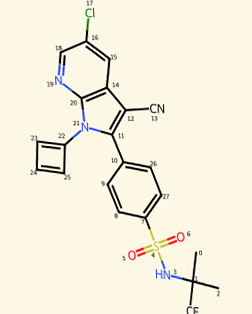 CC(C)(NS(=O)(=O)c1ccc(-c2c(C#N)c3cc(Cl)cnc3n2C2=CC=C2)cc1)C(F)(F)F